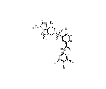 CC[C@@H]1C[C@@H](S(=O)(=O)c2cc(C(=O)Nc3cc(F)c(F)c(F)c3)ccc2Cl)C[C@H](C)[C@@]1(O)[C@H](O)[C@H](C)O